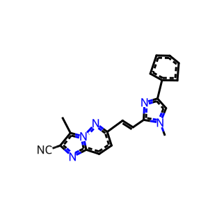 Cc1c(C#N)nc2ccc(C=Cc3nc(-c4ccccc4)cn3C)nn12